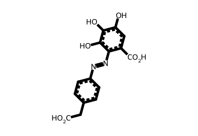 O=C(O)Cc1ccc(/N=N/c2c(C(=O)O)cc(O)c(O)c2O)cc1